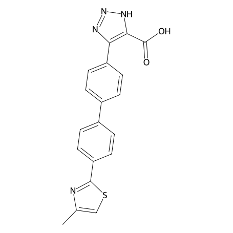 Cc1csc(-c2ccc(-c3ccc(-c4nn[nH]c4C(=O)O)cc3)cc2)n1